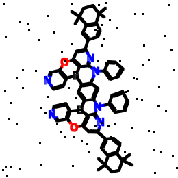 CC1(C)CCC(C)(C)c2cc(-c3cc4c5c(n3)N(c3ccccc3)c3cc6c(cc3B5c3ccncc3O4)B3c4ccncc4Oc4cc(-c5ccc7c(c5)C(C)(C)CCC7(C)C)nc(c43)N6c3ccccc3)ccc21